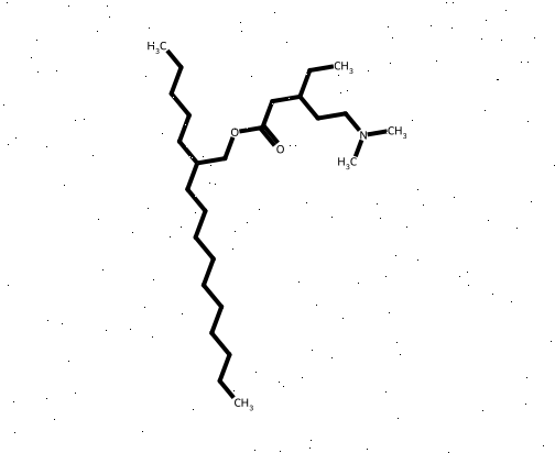 CCCCCCCCCCC(CCCCC)COC(=O)CC(CC)CCN(C)C